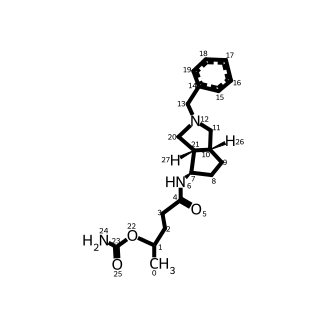 CC(CCC(=O)N[C@@H]1CC[C@H]2CN(Cc3ccccc3)C[C@H]21)OC(N)=O